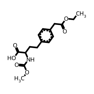 CCOC(=O)Cc1ccc(CCC(NC(=O)OC)C(=O)O)cc1